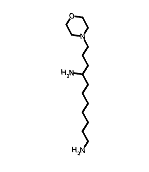 NCCCCCCCC(N)CCCN1CCOCC1